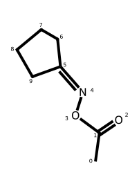 CC(=O)ON=C1CCCC1